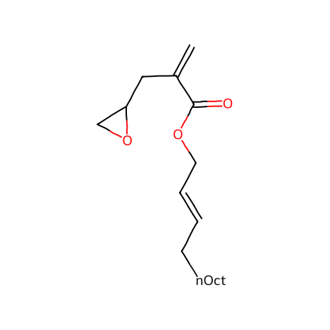 C=C(CC1CO1)C(=O)OCC=CCCCCCCCCC